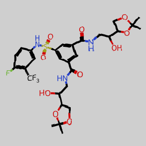 CC1(C)OCC(C(O)CNC(=O)c2cc(C(=O)NCC(O)C3COC(C)(C)O3)cc(S(=O)(=O)Nc3ccc(F)c(C(F)(F)F)c3)c2)O1